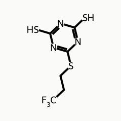 FC(F)(F)CCSc1nc(S)nc(S)n1